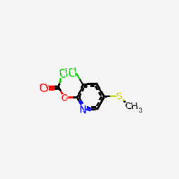 CSc1cnc(OC(=O)Cl)c(Cl)c1